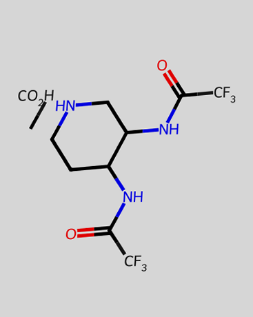 CC(=O)O.O=C(NC1CCNCC1NC(=O)C(F)(F)F)C(F)(F)F